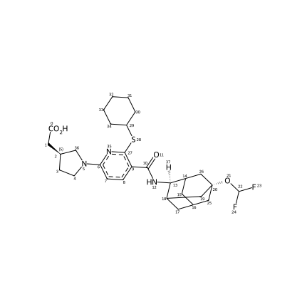 O=C(O)C[C@@H]1CCN(c2ccc(C(=O)N[C@H]3C4CC5CC3C[C@](OC(F)F)(C5)C4)c(SC3CCCCC3)n2)C1